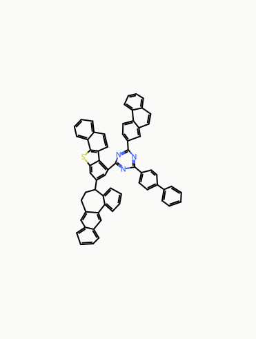 c1ccc(-c2ccc(-c3nc(-c4ccc5c(ccc6ccccc65)c4)nc(-c4cc(C5CCc6cc7ccccc7cc6-c6ccccc65)cc5sc6c7ccccc7ccc6c45)n3)cc2)cc1